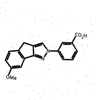 COc1ccc2c(c1)-c1nn(-c3cccc(C(=O)O)c3)cc1C2